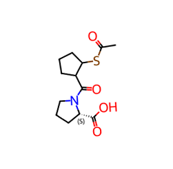 CC(=O)SC1CCCC1C(=O)N1CCC[C@H]1C(=O)O